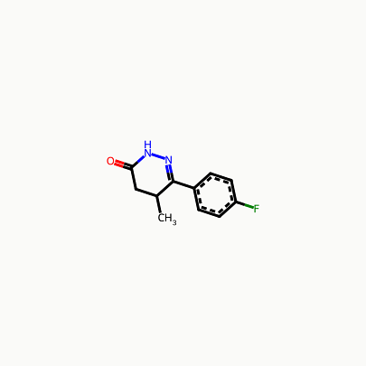 CC1CC(=O)NN=C1c1ccc(F)cc1